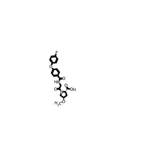 CO[C@@H]1C[C@@H](C(=O)O)N(C(=O)CNC(=O)c2ccc(Oc3ccc(F)cc3)cc2)C1